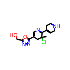 CC1(Cl)CC(c2nnc(CO)o2)=CN=C1C1=CCNCC1